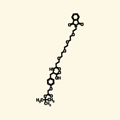 CC(C)(C)OC(=O)COc1ccc(CC(NC(=O)CCOCCOCCOCCOCCN2C(=O)c3ccccc3C2=O)C(=O)O)cc1